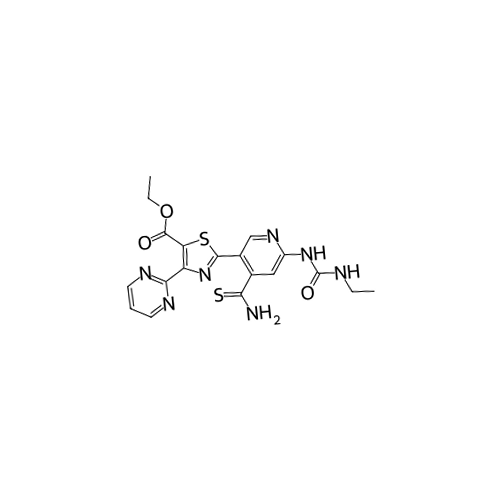 CCNC(=O)Nc1cc(C(N)=S)c(-c2nc(-c3ncccn3)c(C(=O)OCC)s2)cn1